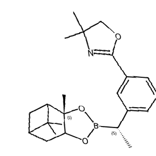 C[C@H](B1OC2CC3CC(C3(C)C)[C@]2(C)O1)c1cccc(C2=NC(C)(C)CO2)c1